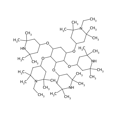 CCN1C(C)(C)CC(OC2CC(OC3CC(C)(C)NC(C)(C)C3)C(OC3CC(C)(C)N(CC)C(C)(C)C3)C(OC3CC(C)(C)NC(C)(C)C3)C2OC2CC(C)(C)NC(C)(C)C2)CC1(C)C